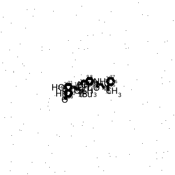 CN(CCC(=O)Nc1ccc(CNC[C@H](O[Si](C)(C)C(C)(C)C)c2ccc(O)c3[nH]c(=O)ccc23)cc1)C1CC[CH]CC1